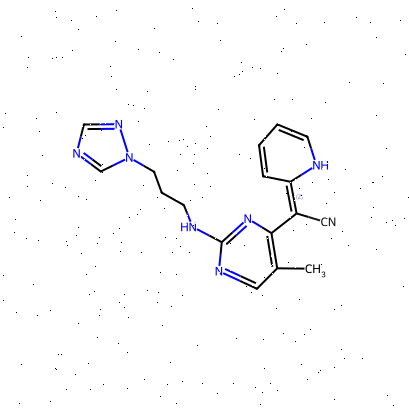 Cc1cnc(NCCCn2cncn2)nc1/C(C#N)=C1\C=CC=CN1